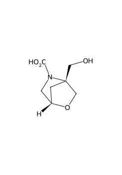 O=C(O)N1C[C@@H]2C[C@@]1(CO)CO2